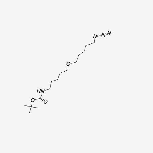 CC(C)(C)OC(=O)NCCCCCOCCCCCN=[N+]=[N-]